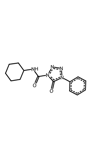 O=C(NC1CCCCC1)n1nnn(-c2ccccc2)c1=O